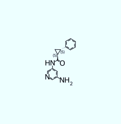 Nc1cncc(NC(=O)[C@H]2C[C@@H]2c2ccccc2)c1